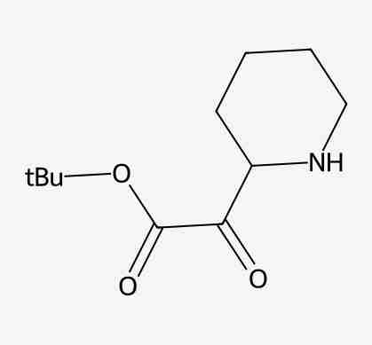 CC(C)(C)OC(=O)C(=O)C1CCCCN1